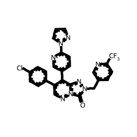 O=c1n(Cc2ccc(C(F)(F)F)nc2)nc2c(-c3ccc(-n4cccn4)nc3)c(-c3ccc(Cl)cc3)cnn12